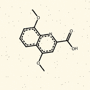 COc1cc(C(=O)O)nc2c(OC)cccc12